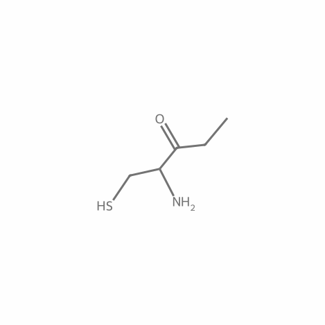 CCC(=O)C(N)CS